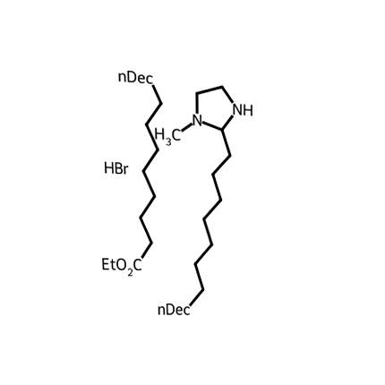 Br.CCCCCCCCCCCCCCCCCC(=O)OCC.CCCCCCCCCCCCCCCCCC1NCCN1C